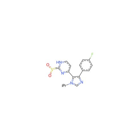 CC(C)n1cnc(-c2ccc(F)cc2)c1-c1cc[nH]c(=S(=O)=O)n1